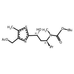 CC(=O)OCc1nc([C@H](O)C[C@H](C(C)C)N(C)C(=O)OC(C)(C)C)sc1C